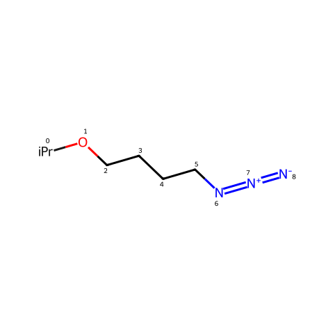 CC(C)OCCCCN=[N+]=[N-]